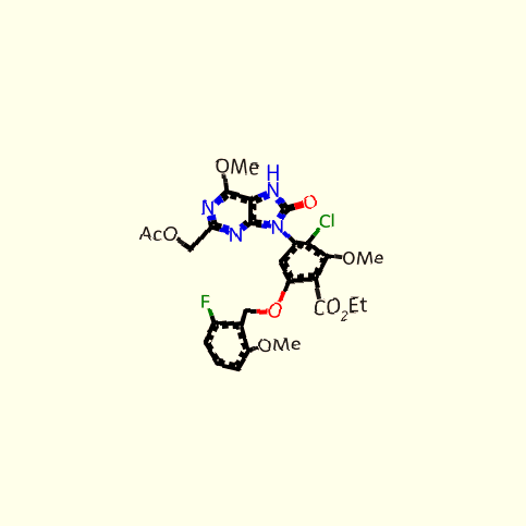 CCOC(=O)c1c(OCc2c(F)cccc2OC)cc(-n2c(=O)[nH]c3c(OC)nc(COC(C)=O)nc32)c(Cl)c1OC